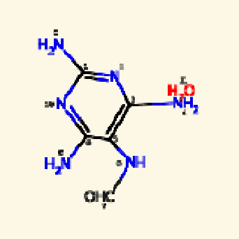 Nc1nc(N)c(NC=O)c(N)n1.O